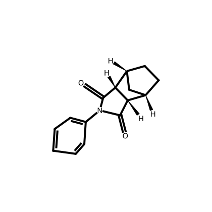 O=C1[C@@H]2[C@@H]3CC[C@@H](C3)[C@@H]2C(=O)N1c1ccccc1